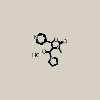 CN1C(=O)OC(c2ccncc2)C1C(=O)N1CCCC1.Cl